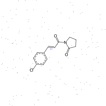 O=C(/C=C/c1ccc(Cl)cc1)N1CCCC1=O